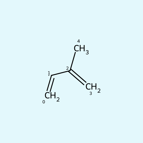 C=[C]C(=C)C